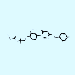 COc1cc(-n2cnc(SCc3ccc(Cl)cc3)cc2=O)ccc1OCC(C)(C)OC(=O)CN